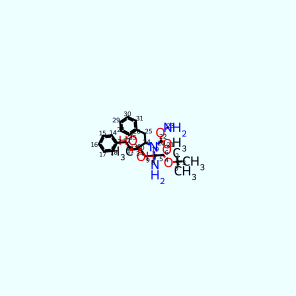 CC(C)(C)OC(=O)C(N)(CCCCc1ccccc1)N(C(=O)ON)C(Cc1ccccc1)C(C)(O)O